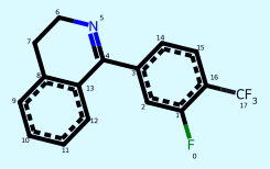 Fc1cc(C2=NCCc3ccccc32)ccc1C(F)(F)F